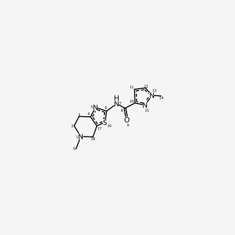 CN1CCc2nc(NC(=O)c3ccn(C)n3)sc2C1